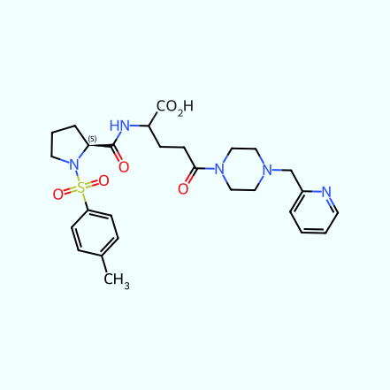 Cc1ccc(S(=O)(=O)N2CCC[C@H]2C(=O)NC(CCC(=O)N2CCN(Cc3ccccn3)CC2)C(=O)O)cc1